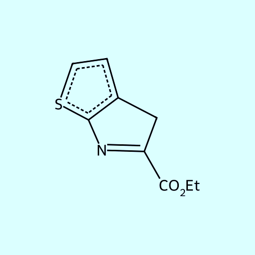 CCOC(=O)C1=Nc2sccc2C1